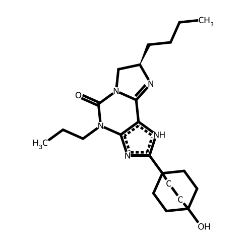 CCCC[C@@H]1CN2C(=O)N(CCC)c3nc(C45CCC(O)(CC4)CC5)[nH]c3C2=N1